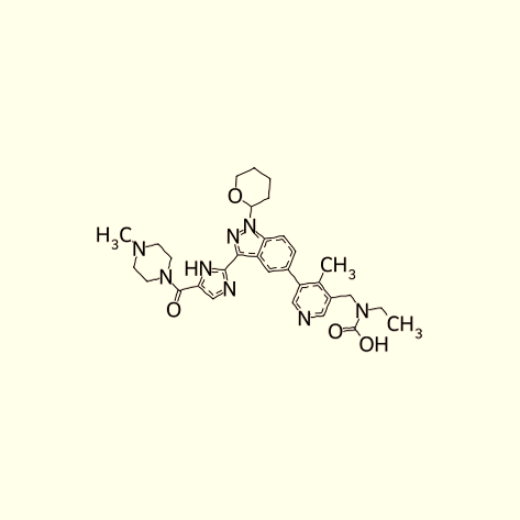 CCN(Cc1cncc(-c2ccc3c(c2)c(-c2ncc(C(=O)N4CCN(C)CC4)[nH]2)nn3C2CCCCO2)c1C)C(=O)O